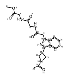 COC(=O)CNC(=O)CNC(=O)Cn1nc(C2CN(C(C)=O)C2)c2ccccc21